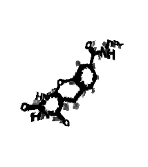 CCCNC(=O)c1ccc2c(c1)Oc1[nH]c(=O)[nH]c(=O)c1C2